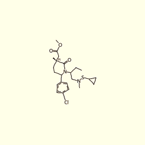 CCC(CN(C)SC1CC1)N1C(=O)[C@@](C)(CC(=O)OC)CCC1c1ccc(Cl)cc1